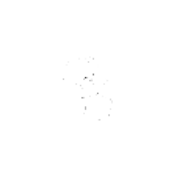 CNC(=O)C1(N)CCCCC1(C)c1ncccn1